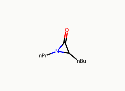 CCCCC1C(=O)N1CCC